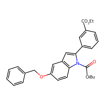 CCOC(=O)c1cccc(-c2cc3cc(OCc4ccccc4)ccc3n2C(=O)OCC(C)C)c1